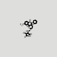 O=C1NC(=O)C(NC[C@H]2CC[C@@H]3[C@H](O2)c2cc(C(F)(F)F)ccc2N[C@H]3C2C=CC=CC2)=C1Cl